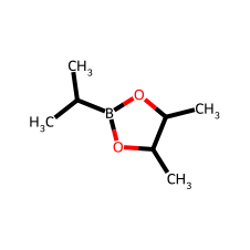 CC(C)B1OC(C)C(C)O1